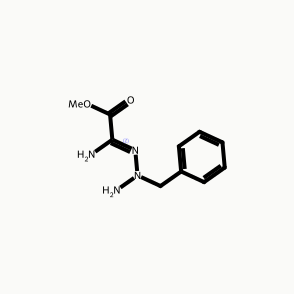 COC(=O)/C(N)=N/N(N)Cc1ccccc1